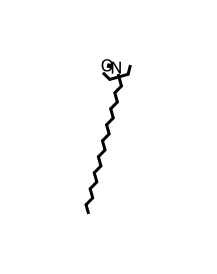 CCCCCCCCCCCCCCCCCC(CC)(CC)N=O